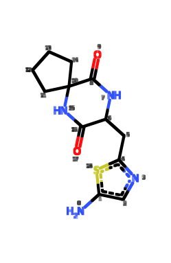 Nc1cnc(CC2NC(=O)C3(CCCC3)NC2=O)s1